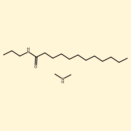 CCCCCCCCCCCC(=O)NCCC.CNC